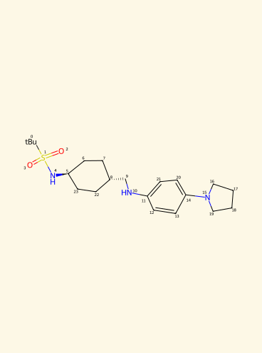 CC(C)(C)S(=O)(=O)N[C@H]1CC[C@H](CNc2ccc(N3CCCC3)cc2)CC1